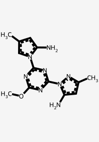 COc1nc(-n2cc(C)cc2N)nc(-n2nc(C)cc2N)n1